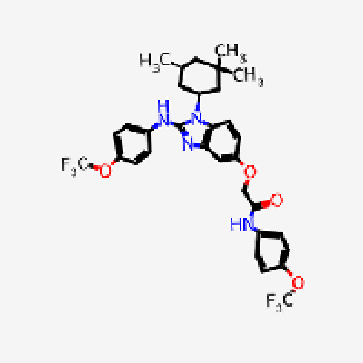 C[C@@H]1C[C@H](n2c(Nc3ccc(OC(F)(F)F)cc3)nc3cc(OCC(=O)Nc4ccc(OC(F)(F)F)cc4)ccc32)CC(C)(C)C1